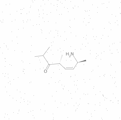 CC(C)C(=O)[C@H](C)/C=C\[C@H](C)N